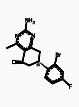 Cc1nc(N)nc2c1C(=O)C[C@@H](c1ccc(F)cc1Br)C2